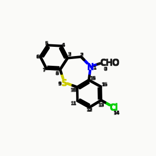 O=CN1Cc2ccccc2Sc2ccc(Cl)cc21